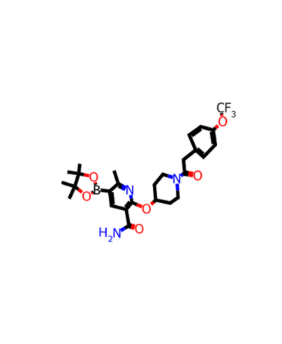 Cc1nc(OC2CCN(C(=O)Cc3ccc(OC(F)(F)F)cc3)CC2)c(C(N)=O)cc1B1OC(C)(C)C(C)(C)O1